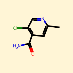 Cc1cc(C(N)=O)c(Cl)cn1